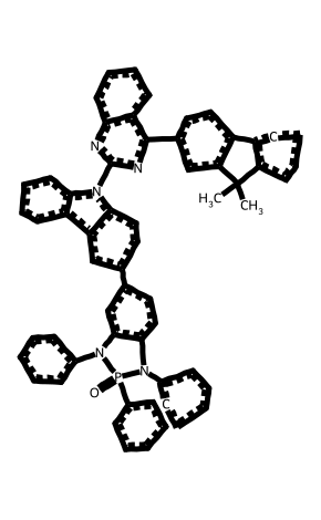 CC1(C)c2ccccc2-c2ccc(-c3nc(-n4c5ccccc5c5cc(-c6ccc7c(c6)N(c6ccccc6)P(=O)(c6ccccc6)N7c6ccccc6)ccc54)nc4ccccc34)cc21